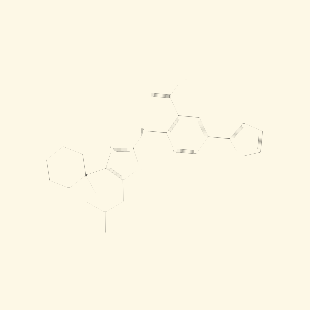 CC(C)Cc1sc(Nc2ncc(-c3cccs3)cc2C(=O)O)nc1C1(C)CCCCC1